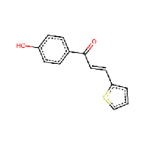 O=C(C=Cc1cccs1)c1ccc(O)cc1